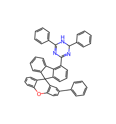 c1ccc(C2=NC(c3cccc4c3-c3ccccc3C43c4ccccc4Oc4ccc(-c5ccccc5)cc43)=NC(c3ccccc3)N2)cc1